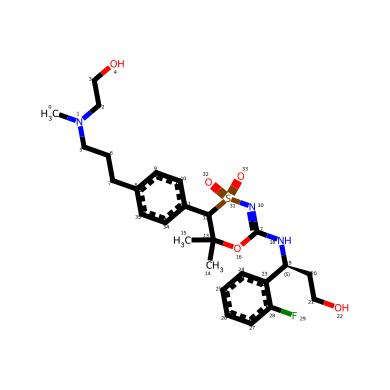 CN(CCO)CCCc1ccc(C2C(C)(C)OC(N[C@@H](CCO)c3ccccc3F)=NS2(=O)=O)cc1